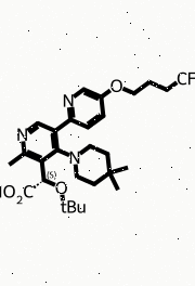 Cc1ncc(-c2ccc(OCCCC(F)(F)F)cn2)c(N2CCC(C)(C)CC2)c1[C@H](OC(C)(C)C)C(=O)O